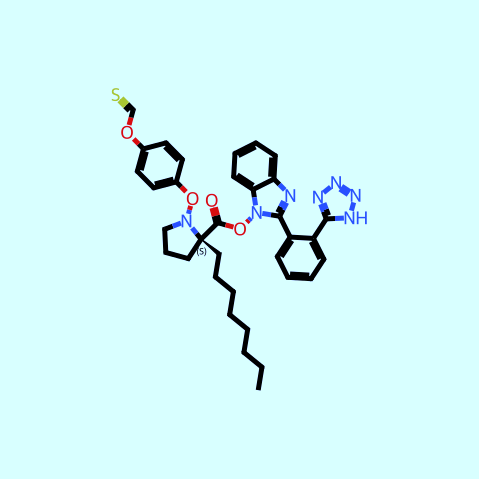 CCCCCCCC[C@@]1(C(=O)On2c(-c3ccccc3-c3nnn[nH]3)nc3ccccc32)CCCN1Oc1ccc(OC=S)cc1